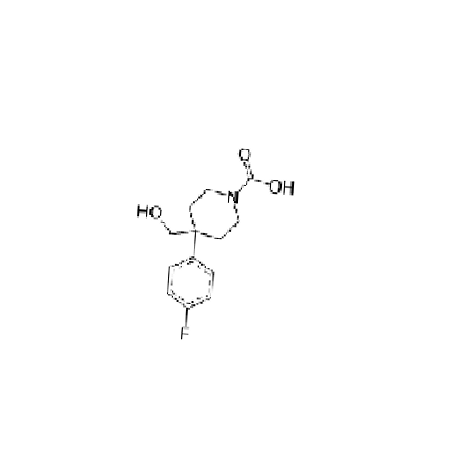 O=C(O)N1CCC(CO)(c2ccc(F)cc2)CC1